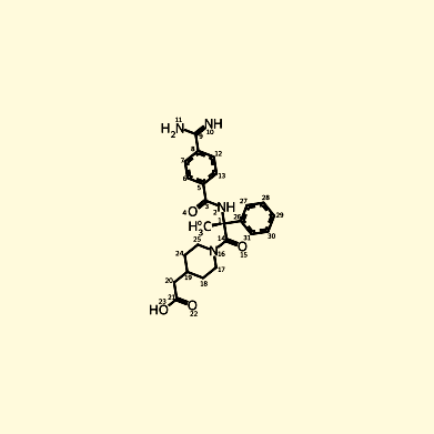 C[C@](NC(=O)c1ccc(C(=N)N)cc1)(C(=O)N1CCC(CC(=O)O)CC1)c1ccccc1